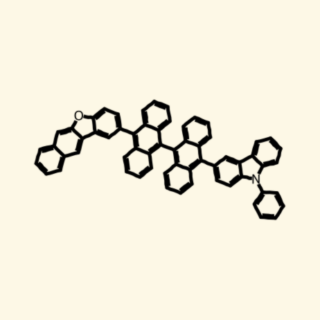 c1ccc(-n2c3ccccc3c3cc(-c4c5ccccc5c(-c5c6ccccc6c(-c6ccc7oc8cc9ccccc9cc8c7c6)c6ccccc56)c5ccccc45)ccc32)cc1